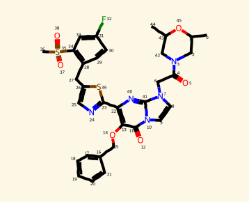 CC1CN(C(=O)Cn2ccn3c(=O)c(OCc4ccccc4)c(-c4ncc(Cc5ccc(F)cc5S(C)(=O)=O)s4)nc23)CC(C)O1